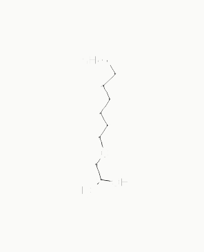 CCCCCCCCCCCCOC[C@H](C)O